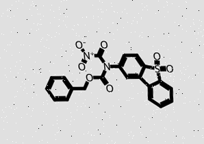 O=C(OCc1ccccc1)N(C(=O)[N+](=O)[O-])c1ccc2c(c1)-c1ccccc1S2(=O)=O